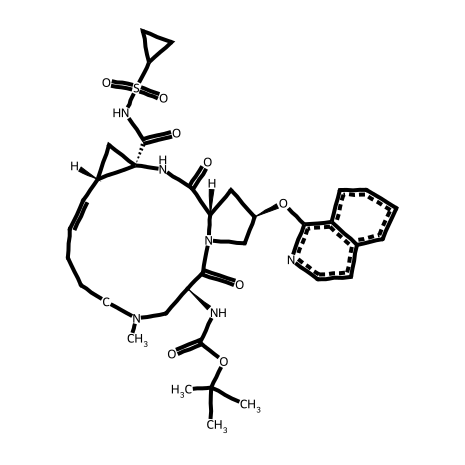 CN1CCC/C=C\[C@@H]2C[C@@]2(C(=O)NS(=O)(=O)C2CC2)NC(=O)[C@@H]2C[C@@H](Oc3nccc4ccccc34)CN2C(=O)[C@@H](NC(=O)OC(C)(C)C)C1